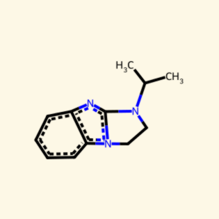 CC(C)N1CCn2c1nc1ccccc12